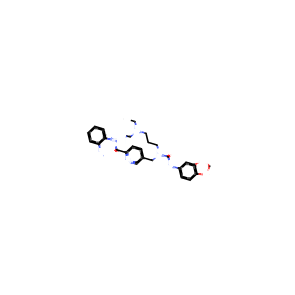 CCN(CC)CCCN(Cc1ccc(C(=O)Nc2ccccc2N)nc1)C(=O)Nc1ccc2c(c1)OCO2